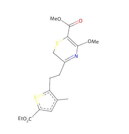 CCOC(=O)c1cc(C)c(CCC2=NC(OC)=C(C(=O)OC)SC2)s1